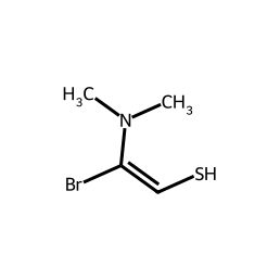 CN(C)/C(Br)=C\S